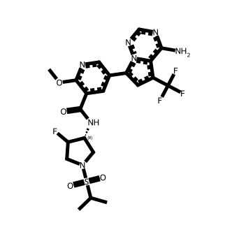 COc1ncc(-c2cc(C(F)(F)F)c3c(N)ncnn23)cc1C(=O)N[C@@H]1CN(S(=O)(=O)C(C)C)CC1F